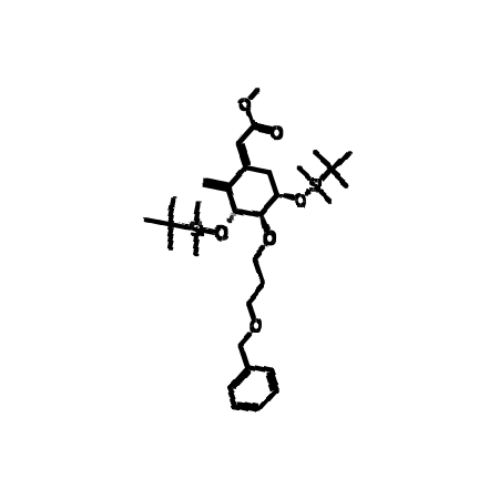 C=C1C(=CC(=O)OC)C[C@@H](O[Si](C)(C)C(C)(C)C)[C@@H](OCCCOCc2ccccc2)[C@@H]1O[Si](C)(C)C(C)(C)C